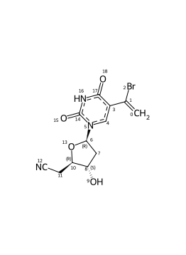 C=C(Br)c1cn([C@H]2C[C@H](O)[C@@H](CC#N)O2)c(=O)[nH]c1=O